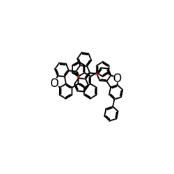 c1ccc(-c2ccc3oc4ccc(-c5c6ccccc6c(-c6cccc7oc8cccc(-c9c%10ccccc%10c(-c%10ccccc%10)c%10ccccc9%10)c8c67)c6ccccc56)cc4c3c2)cc1